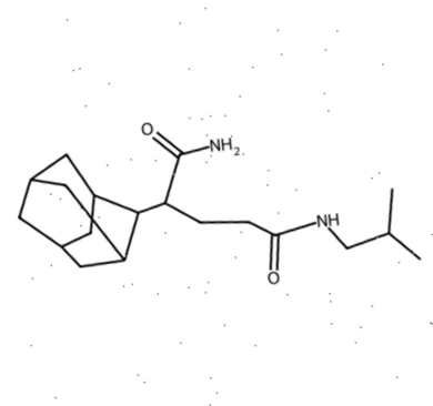 CC(C)CNC(=O)CCC(C(N)=O)C1C2CC3CC(C2)CC1C3